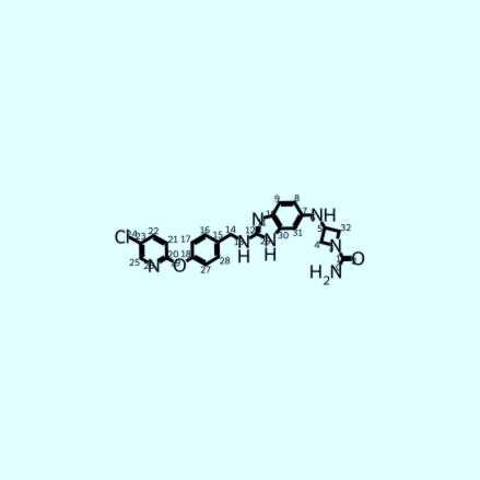 NC(=O)N1CC(Nc2ccc3nc(NCc4ccc(Oc5ccc(Cl)cn5)cc4)[nH]c3c2)C1